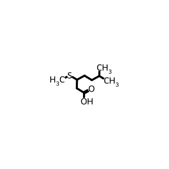 CSC(CCC(C)C)CC(=O)O